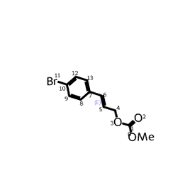 COC(=O)OC/C=C/c1ccc(Br)cc1